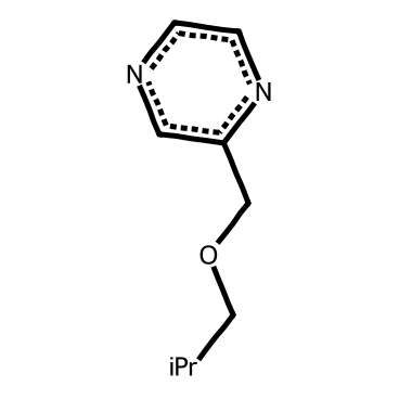 CC(C)COCc1cnccn1